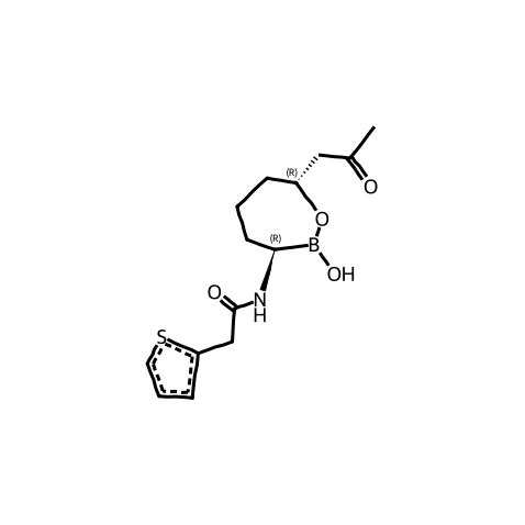 CC(=O)C[C@H]1CCC[C@H](NC(=O)Cc2cccs2)B(O)O1